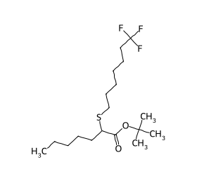 CCCCCC(SCCCCCCC(F)(F)F)C(=O)OC(C)(C)C